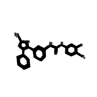 Nc1nc(-c2ccccc2)c(-c2cccc(NC(=O)Nc3ccc(C(F)(F)F)c(Cl)c3)c2)[nH]1